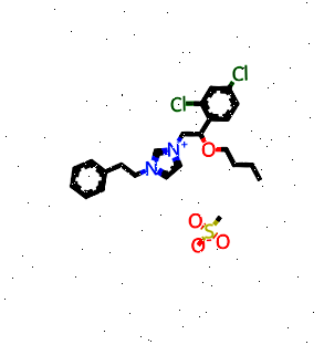 CCCCOC(C[n+]1ccn(CCc2ccccc2)c1)c1ccc(Cl)cc1Cl.CS(=O)(=O)[O-]